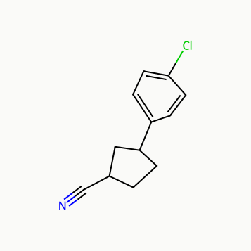 N#CC1CCC(c2ccc(Cl)cc2)C1